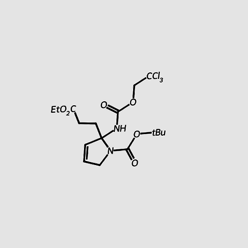 CCOC(=O)CCC1(NC(=O)OCC(Cl)(Cl)Cl)C=CCN1C(=O)OC(C)(C)C